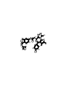 Cc1sc2c(c1C)C(c1ccc(Cl)cc1)=N[C@@H](CC(=O)Nc1ccc3c(c1)CO/C3=N/C1COC1)c1nnc(C)n1-2